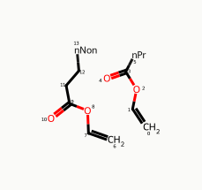 C=COC(=O)CCC.C=COC(=O)CCCCCCCCCCC